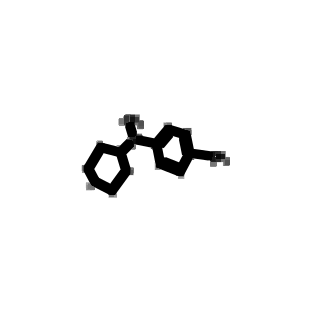 Cc1ccc([N+](C)C2CCCCC2)cc1